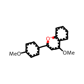 COc1ccc(-c2cc(OC)c3ccccc3[o+]2)cc1